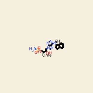 CO[C@H](COS(N)(=O)=O)[C@@H](O)Cn1cnc2c(N(C)[C@H]3CCc4ccccc43)ncnc21